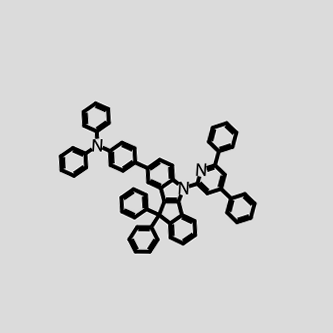 c1ccc(-c2cc(-c3ccccc3)nc(-n3c4c(c5cc(-c6ccc(N(c7ccccc7)c7ccccc7)cc6)ccc53)C(c3ccccc3)(c3ccccc3)c3ccccc3-4)c2)cc1